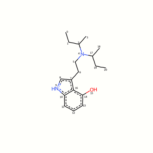 CCC(C)N(CCc1c[nH]c2cccc(O)c12)C(C)CC